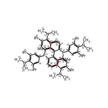 COc1cccc(P(c2cc(C(C)C)c(N(C)C)c(C(C)C)c2)c2cc(C(C)C)c(N(C)C)c(C(C)C)c2)c1-c1c(OC)cccc1P(c1cc(C(C)C)c(N(C)C)c(C(C)C)c1)c1cc(C(C)C)c(N(C)C)c(C(C)C)c1